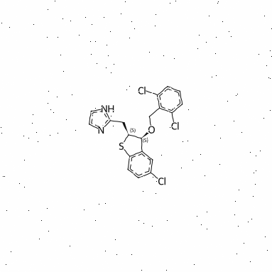 Clc1ccc2c(c1)[C@H](OCc1c(Cl)cccc1Cl)[C@H](Cc1ncc[nH]1)S2